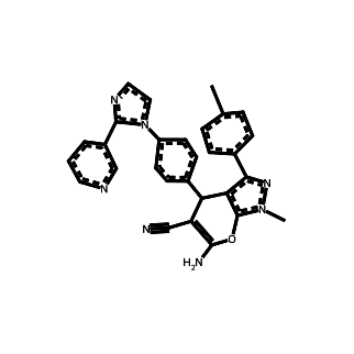 Cc1ccc(-c2nn(C)c3c2C(c2ccc(-n4ccnc4-c4cccnc4)cc2)C(C#N)=C(N)O3)cc1